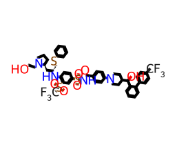 O=C(NS(=O)(=O)c1ccc(N[C@@H](CSc2ccccc2)C[C@@H]2CCCN2CCO)c(S(=O)(=O)C(F)(F)F)c1)c1ccc(N2CCC(C(O)c3ccccc3-c3ccc(C(F)(F)F)cc3)CC2)cc1